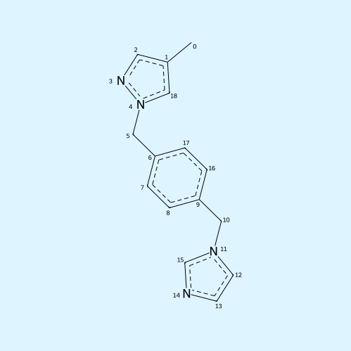 Cc1cnn(Cc2ccc(Cn3ccnc3)cc2)c1